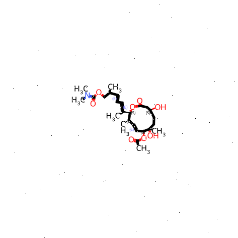 CC(=O)O[C@H]1/C=C/[C@H](C)[C@@H](/C(C)=C/C=C/C(C)COC(=O)N(C)C)OC(=O)C[C@@H](O)CC[C@]1(C)O